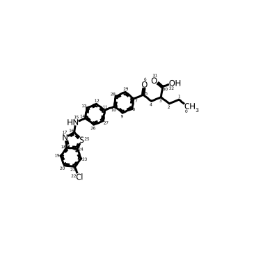 CCCC(CC(=O)c1ccc(-c2ccc(Nc3nc4ccc(Cl)cc4s3)cc2)cc1)C(=O)O